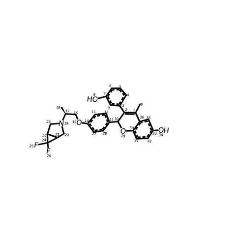 CC1=C(c2cccc(O)c2)C(c2ccc(OC[C@H](C)N3CC4C(C3)C4(F)F)cc2)Oc2ccc(O)cc21